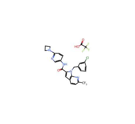 O=C(Nc1ccc(N2CCC2)nc1)c1cc2ccc(C(F)(F)F)nc2n1Cc1cccc(Cl)c1.O=C(O)C(F)(F)F